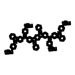 CC(C)(C)c1ccc(N(c2ccc3c(c2)c2ccccc2n3-c2ccc(C(C)(C)C)cc2)c2ccc3c(c2)c2cc4c(cc2n3-c2ccccc2)c2cc(N(c3ccc(C(C)(C)C)cc3)c3ccc5c(c3)c3ccccc3n5-c3ccc(C(C)(C)C)cc3)ccc2n4-c2ccccc2)cc1